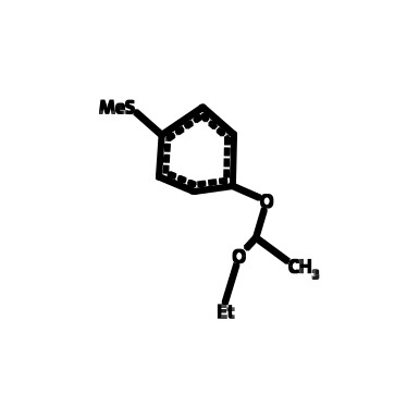 CCOC(C)Oc1ccc(SC)cc1